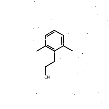 Cc1cccc(C)c1CCC#N